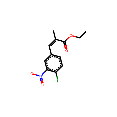 CCOC(=O)C(C)=Cc1ccc(F)c([N+](=O)[O-])c1